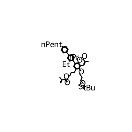 C=C(C)C(=O)OCCCc1cc(-c2ccc(-c3ccc(CCCCC)cc3)cc2CC)cc(C=C(C)C(=O)OCCC)c1OCCCO[Si](C)(C)C(C)(C)C